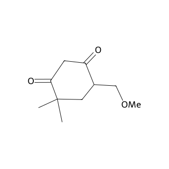 COCC1CC(C)(C)C(=O)CC1=O